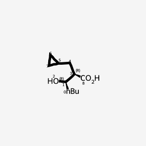 CCCC[C@@H](O)[C@@H](CC1CC1)C(=O)O